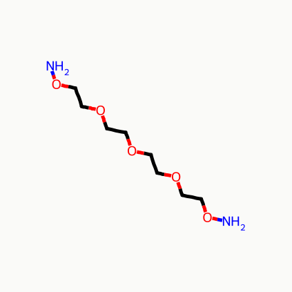 NOCCOCCOCCOCCON